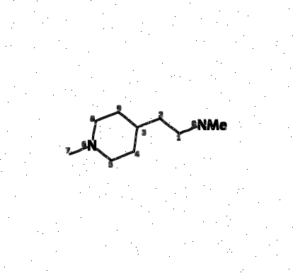 CNCCC1CCN(C)CC1